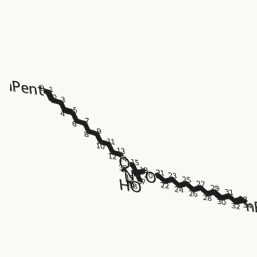 CCCCCC=CCC=CCCCCCCCCOCC(CO)(COCCCCCCCCC=CCC=CCCCCC)N(C)C